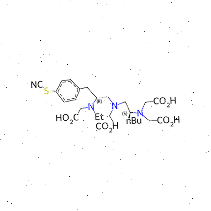 CCCC[C@@H](CN(CC(=O)O)C[C@@H](Cc1ccc(SC#N)cc1)N(CC)CC(=O)O)N(CC(=O)O)CC(=O)O